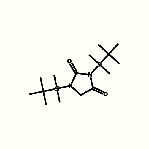 CC(C)(C)[Si](C)(C)N1CC(=O)N([Si](C)(C)C(C)(C)C)C1=O